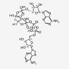 Nc1ncnc2c1ncn2[C@@H]1O[C@H](COP(=O)(O)OP(=O)(O)OP(=O)(O)OP(=O)(O)OP(=O)(O)OP(=O)(O)OC[C@H]2O[C@@H](n3cnc4c(N)ncnc43)[C@H](O)[C@@H]2O)[C@@H](O)[C@H]1O